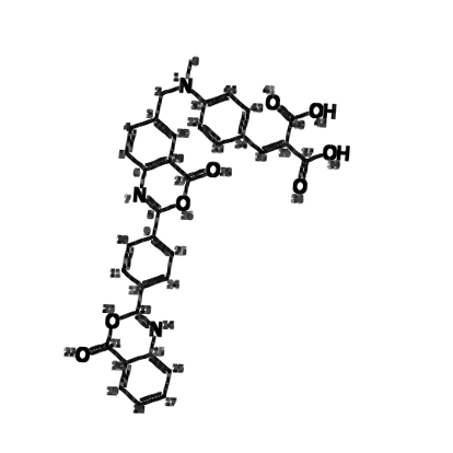 CN(Cc1ccc2nc(-c3ccc(-c4nc5ccccc5c(=O)o4)cc3)oc(=O)c2c1)c1ccc(C=C(C(=O)O)C(=O)O)cc1